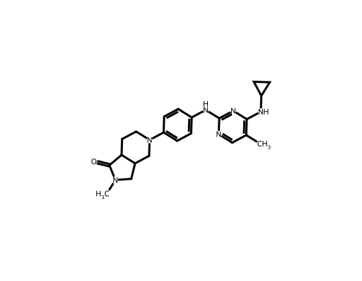 Cc1cnc(Nc2ccc(N3CCC4C(=O)N(C)CC4C3)cc2)nc1NC1CC1